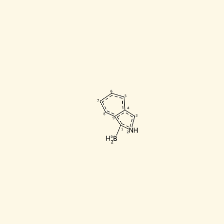 Bc1[nH]cc2ccccc12